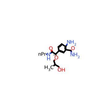 CCCNC(=O)[C@@H](OCC(C)CO)c1ccc(N)c(C(N)=O)c1